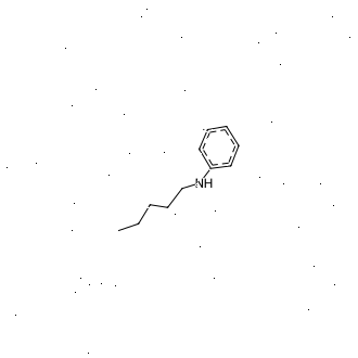 CCCCCNc1c[c]ccc1